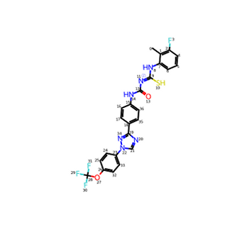 Cc1c(F)cccc1N/C(S)=N/C(=O)Nc1ccc(-c2ncn(-c3ccc(OC(F)(F)F)cc3)n2)cc1